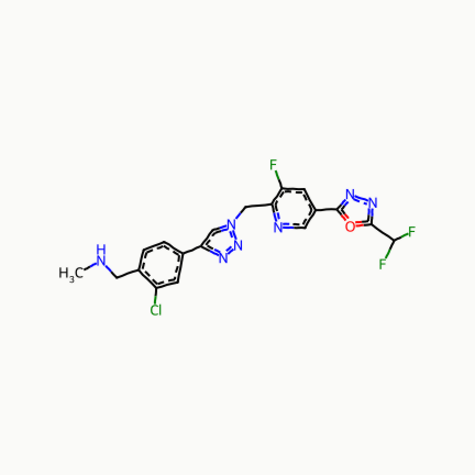 CNCc1ccc(-c2cn(Cc3ncc(-c4nnc(C(F)F)o4)cc3F)nn2)cc1Cl